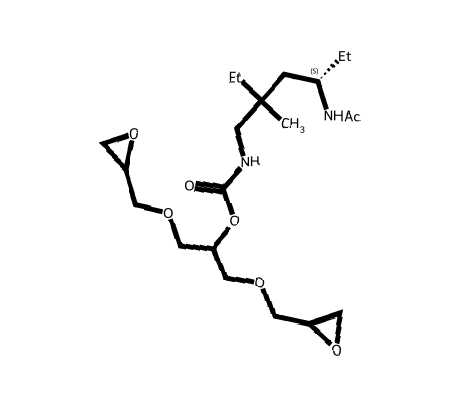 CC[C@@H](CC(C)(CC)CNC(=O)OC(COCC1CO1)COCC1CO1)NC(C)=O